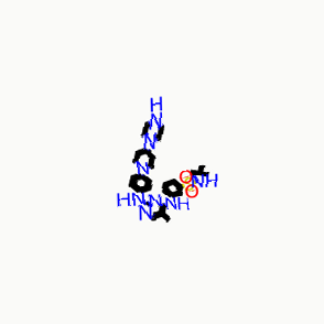 Cc1cnc(Nc2ccc(N3CCC(N4CCNCC4)CC3)cc2)nc1Nc1cccc(S(=O)(=O)NC(C)(C)C)c1